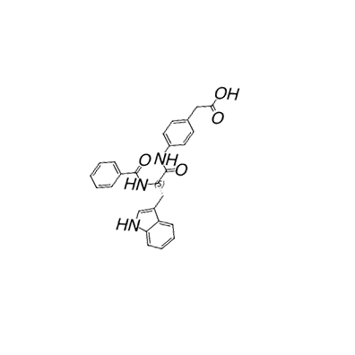 O=C(O)Cc1ccc(NC(=O)[C@H](Cc2c[nH]c3ccccc23)NC(=O)c2ccccc2)cc1